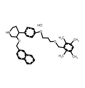 Cc1cc(C)c(C)c(COCCCOc2ccc(C3CCNCC3OCc3ccc4ccccc4c3)cc2)c1C.Cl